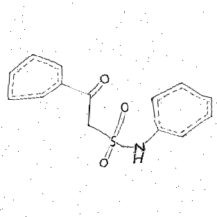 O=C(CS(=O)(=O)Nc1ccccc1)c1ccccc1